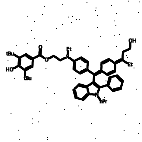 CCCn1c(-c2ccccc2)c(C(c2ccc(N(CC)CCOC(=O)c3cc(C(C)(C)C)c(O)c(C(C)(C)C)c3)cc2)=c2ccc(=C(CC)CCO)cc2)c2ccccc21